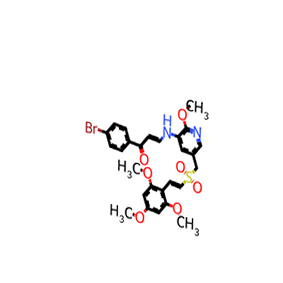 COc1cc(OC)c(C=CS(=O)(=O)Cc2cnc(OC)c(NC=CC(=O)c3ccc(Br)cc3)c2)c(OC)c1